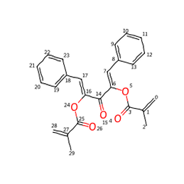 C=C(C)C(=O)OC(=Cc1ccccc1)C(=O)C(=Cc1ccccc1)OC(=O)C(=C)C